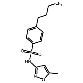 Cc1cc(NS(=O)(=O)c2ccc(CCCC(F)(F)F)cc2)no1